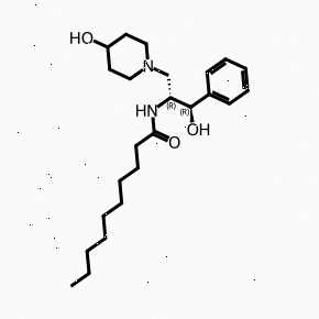 CCCCCCCCCC(=O)N[C@H](CN1CCC(O)CC1)[C@H](O)c1ccccc1